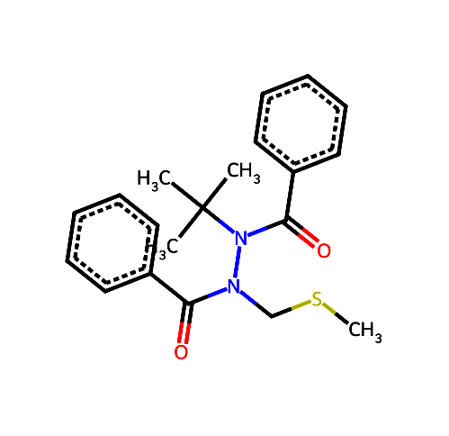 CSCN(C(=O)c1ccccc1)N(C(=O)c1ccccc1)C(C)(C)C